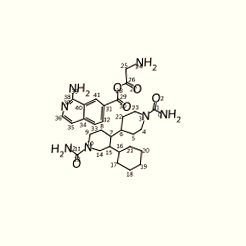 NC(=O)N1CCC(C2CCN(C(N)=O)CC2C2CCCCC2)CC1.NCC(=O)OC(=O)c1ccc2ccnc(N)c2c1